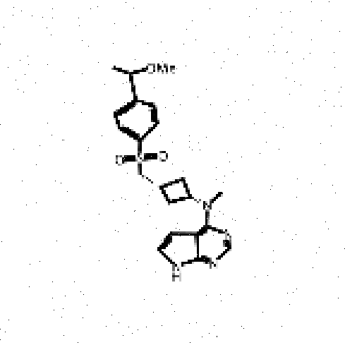 COC(C)c1ccc(S(=O)(=O)C[C@H]2C[C@@H](N(C)c3ncnc4[nH]ccc34)C2)cc1